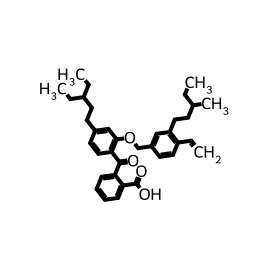 C=Cc1ccc(COc2cc(CCC(CC)CC)ccc2C(=O)c2ccccc2C(=O)O)cc1CCC(C)CC